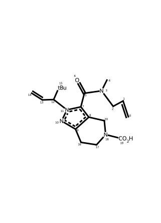 C=CCN(C)C(=O)c1c2c(nn1C(C=C)C(C)(C)C)CCN(C(=O)O)C2